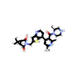 Cc1nc(C#N)cc(-c2ccnc3cc(CN4C(=O)C5C(C4=O)C5(C)C)sc23)c1C(=O)N1CCNC[C@@H]1C